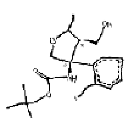 CC1OC[C@@](NC(=O)OC(C)(C)C)(c2ccccc2F)[C@@H]1CO